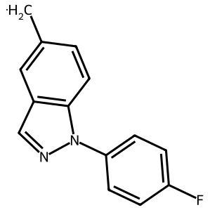 [CH2]c1ccc2c(cnn2-c2ccc(F)cc2)c1